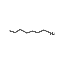 [Na][CH2]CCCCCI